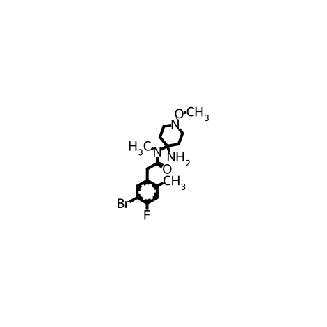 CON1CCC(N)(N(C)C(=O)Cc2cc(Br)c(F)cc2C)CC1